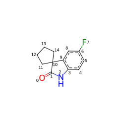 O=C1Nc2ccc(F)cc2C12CCCC2